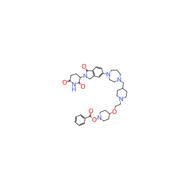 O=C1CCC(N2Cc3cc(N4CCCN(CC5CCN(CCOC6CCN(OC(=O)c7ccccc7)CC6)CC5)CC4)ccc3C2=O)C(=O)N1